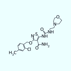 Cc1ccc(COc2nsc(NC(=O)NCCN3CCOCC3)c2C(N)=O)c(Cl)c1